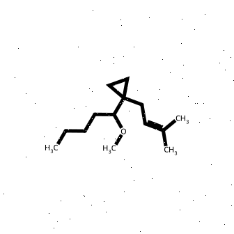 CCCCC(OC)C1(CC=C(C)C)CC1